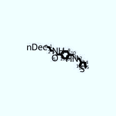 CCCCCCCCCCCCNC(=O)c1ccc(CNCc2ccsc2)cc1